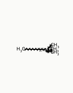 CCCCCCCCCCCCCCCn1cc[n+](C(C)C)c1CCCC